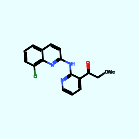 COCC(=O)c1cccnc1Nc1ccc2cccc(Cl)c2n1